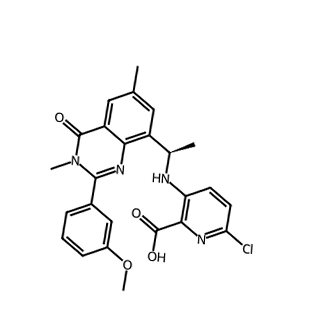 COc1cccc(-c2nc3c([C@@H](C)Nc4ccc(Cl)nc4C(=O)O)cc(C)cc3c(=O)n2C)c1